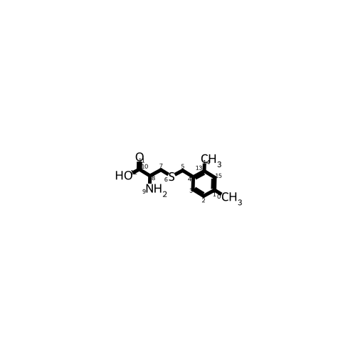 Cc1ccc(CSCC(N)C(=O)O)c(C)c1